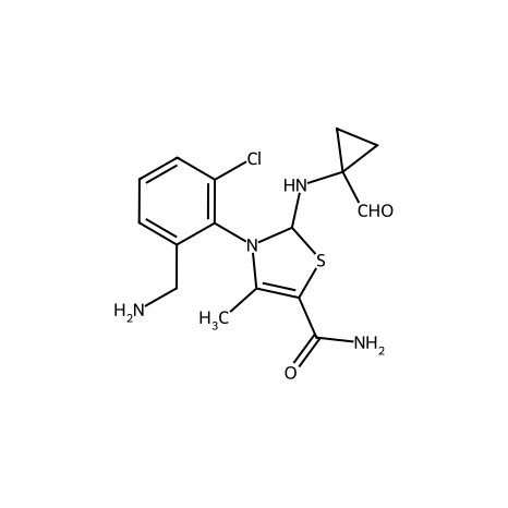 CC1=C(C(N)=O)SC(NC2(C=O)CC2)N1c1c(Cl)cccc1CN